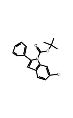 CC(C)(C)OC(=O)n1c(-c2ccccc2)cc2ccc(Cl)cc21